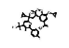 Cc1nnc2c(OC3CC3)cc(C(N)=O)cc2c1CC(O)(c1cc(C(C)(C)O)c(F)c(-c2ccc(F)cc2)n1)C1CC1